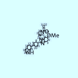 COc1ccc2nc(-c3ccc(-c4ccc5cc[nH]c5c4)cc3)n(C[C@@H]3CCN(C(=O)C4CC4)C3)c2c1